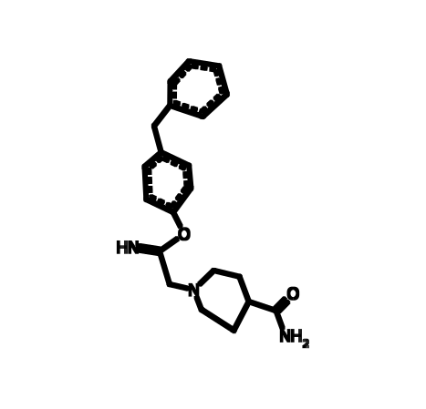 N=C(CN1CCC(C(N)=O)CC1)Oc1ccc(Cc2ccccc2)cc1